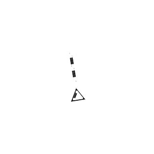 C1=CC1.[N-]=[N+]=N